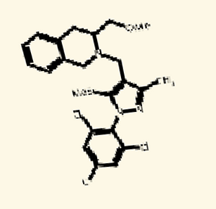 COCC1Cc2ccccc2CN1Cc1c(C)nn(-c2c(Cl)cc(Cl)cc2Cl)c1SC